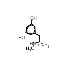 CN[C@@H](C)Cc1cccc(O)c1.Cl